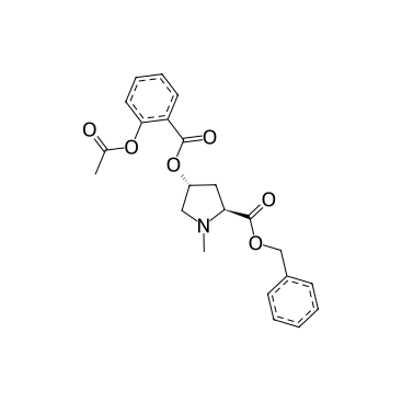 CC(=O)Oc1ccccc1C(=O)O[C@@H]1C[C@@H](C(=O)OCc2ccccc2)N(C)C1